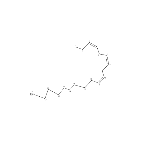 CC/C=C\C/C=C\C/C=C\CCCCCCCCBr